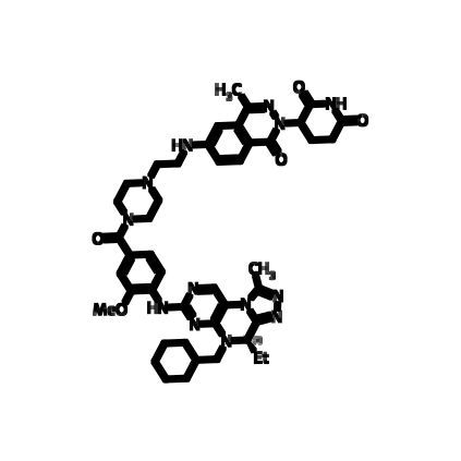 CC[C@@H]1c2nnc(C)n2-c2cnc(Nc3ccc(C(=O)N4CCN(CCNc5ccc6c(=O)n(C7CCC(=O)NC7=O)nc(C)c6c5)CC4)cc3OC)nc2N1CC1CCCCC1